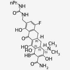 B=C1C(C(N)=O)=C(O)[C@@H](N(C)C)[C@@H]2C[C@@H]3Cc4c(F)cc(CNC(=O)NCCC)c(O)c4C(=O)C3=C(O)[C@]12O